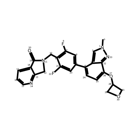 Cn1cc2c(-c3cc(F)c(CN4Cc5ncccc5C4=O)c(F)c3)ccc(OC3COC3)c2n1